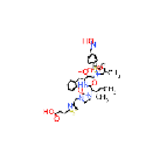 CC[C@H](C)[C@@H](C(=O)N[C@@H](Cc1ccccc1)[C@H](O)CN(CC(C)C)S(=O)(=O)c1ccc(C=NO)cc1)N1CCN(Cc2csc(CCC(=O)O)n2)C1=O